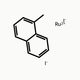 Cc1cccc2ccccc12.[I-].[I-].[Ru+2]